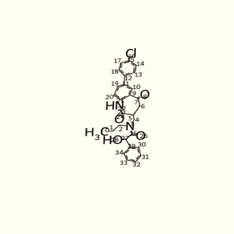 CCCN(CC1CC(=O)c2cc(-c3ccc(Cl)cc3)ccc2NC1=O)C(=O)[C@H](O)c1ccccc1